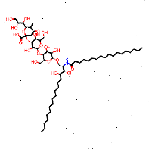 CCCCCCCCCCCCCCCCCC(=O)N[C@@H](CO[C@@H]1O[C@@H](CO)[C@@H](O[C@@H]2OC(CO)C(O)[C@H](O[C@]3(C(=O)O)CC(O)C(C)[C@H]([C@H](O)[C@H](O)CO)O3)C2O)C(O)C1O)[C@H](O)[C@H](O)CCCCCCCCCCCCCC